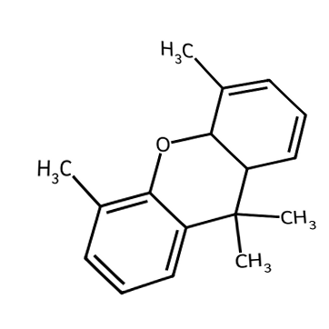 CC1=CC=CC2C1Oc1c(C)cccc1C2(C)C